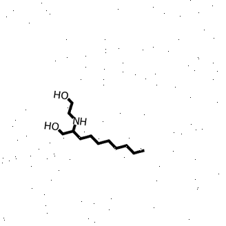 CCCCCCCCC(CO)NCCO